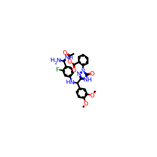 COc1ccc(C(Nc2ccc(C(=N)N)c(F)c2)c2nn(-c3ccccc3C(=O)OC(C)=O)c(=O)[nH]2)cc1OC